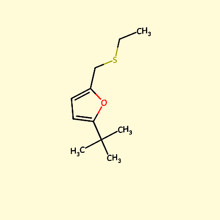 CCSCc1ccc(C(C)(C)C)o1